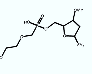 BC1CC(OC)C(COP(=O)(O)COCCO)O1